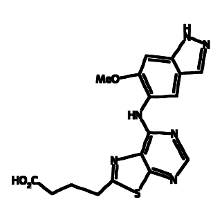 COc1cc2[nH]ncc2cc1Nc1ncnc2sc(CCCC(=O)O)nc12